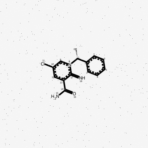 C[C@H](c1ccccc1)n1cc(Cl)cc(C(N)=O)c1=N